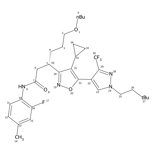 CCCCOCCC[C@@H](CC(=O)Nc1ccc(C)cc1F)c1noc(-c2cn(CCC(C)(C)C)nc2C(F)(F)F)c1C1CC1